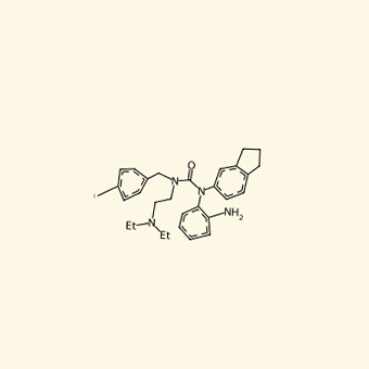 [CH]c1ccc(CN(CCN(CC)CC)C(=O)N(c2ccc3c(c2)CCC3)c2ccccc2N)cc1